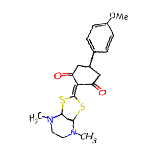 COc1ccc(C2CC(=O)C(=C3SC4C(S3)N(C)CCN4C)C(=O)C2)cc1